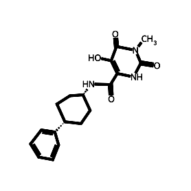 Cn1c(=O)[nH]c(C(=O)N[C@H]2CC[C@@H](c3ccccc3)CC2)c(O)c1=O